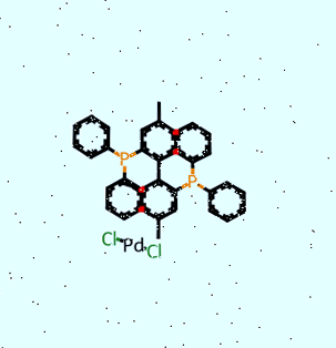 Cc1cc(C)c(-c2c(C)cc(C)cc2P(c2ccccc2)c2ccccc2)c(P(c2ccccc2)c2ccccc2)c1.[Cl][Pd][Cl]